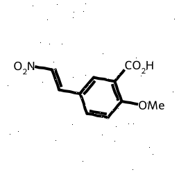 COc1ccc(C=C[N+](=O)[O-])cc1C(=O)O